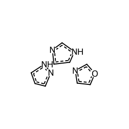 c1c[nH]cn1.c1cn[nH]c1.c1cocn1